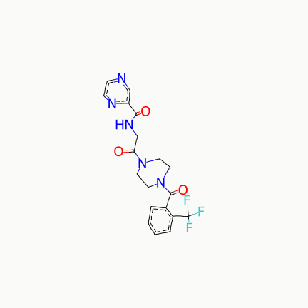 O=C(NCC(=O)N1CCN(C(=O)c2ccccc2C(F)(F)F)CC1)c1cnccn1